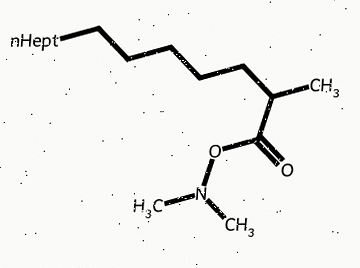 CCCCCCCCCCCCC(C)C(=O)ON(C)C